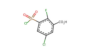 O=C(O)c1cc(Cl)cc(S(=O)(=O)Cl)c1F